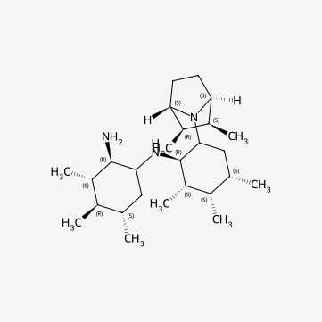 C[C@@H]1[C@H](C)[C@@H](NC2C[C@H](C)[C@@H](C)[C@H](C)[C@H]2N)C(N2[C@H]3CC[C@H]2[C@@H](C)[C@H]3C)C[C@@H]1C